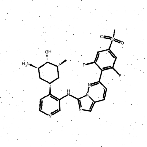 C[C@H]1C[C@@H](c2ccncc2Nc2ncc3ccc(-c4c(F)cc(S(C)(=O)=O)cc4F)nn23)C[C@@H](N)[C@@H]1O